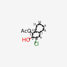 CC(=O)Oc1c(O)c(Cl)cc2ccccc12